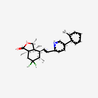 C[C@H]1OC(=O)[C@]2(C)CC(F)(F)[C@@H](C)[C@H](/C=C/c3ccc(-c4ccccc4C#N)cn3)[C@H]12